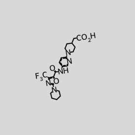 O=C(O)CC1CCN(c2ccc(NC(=O)c3oc(N4CCCCC4)nc3C(F)(F)F)cn2)CC1